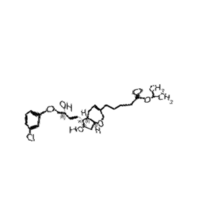 CC(C)OC(=O)CCCCC1=CC[C@@H]2[C@@H](C=C[C@@H](O)COc3cccc(Cl)c3)[C@H](O)C[C@@H]2OC1